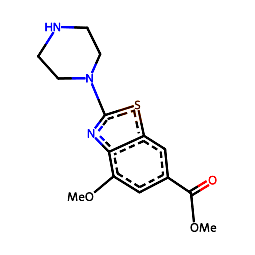 COC(=O)c1cc(OC)c2nc(N3CCNCC3)sc2c1